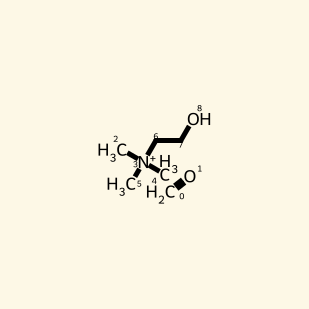 C=O.C[N+](C)(C)CCO